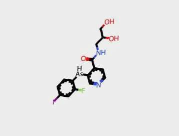 O=C(NCC(O)CO)c1ccncc1[AsH]c1ccc(I)cc1F